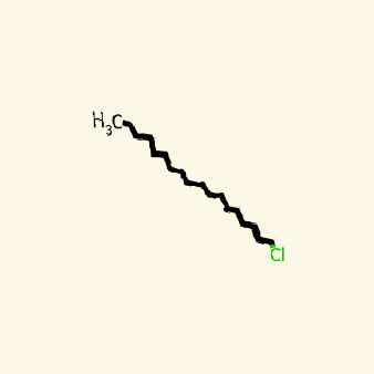 CCCCCCCCCCCCCCCC=CCCl